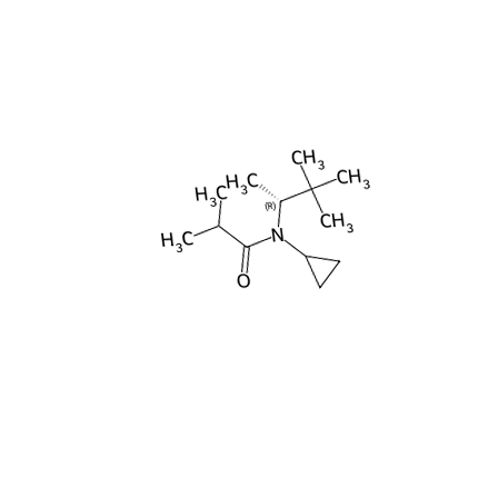 CC(C)C(=O)N(C1CC1)[C@H](C)C(C)(C)C